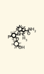 Cc1c(C(N)=O)sc2ncnc(Nc3ccc(F)cc3O[C@@H]3CCC[C@@H](O)C3)c12